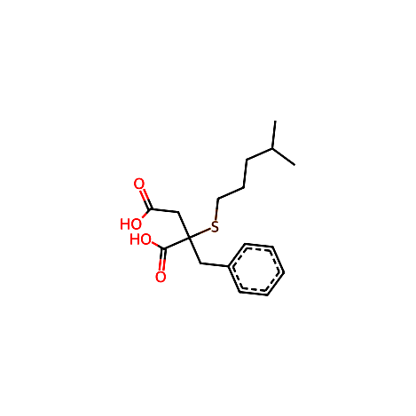 CC(C)CCCSC(CC(=O)O)(Cc1ccccc1)C(=O)O